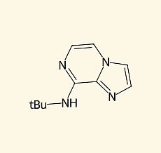 CC(C)(C)Nc1nccn2ccnc12